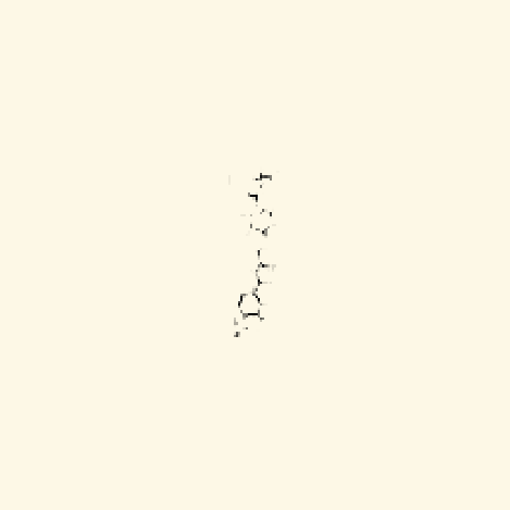 CC(C)(C)OC(=O)N1CCC(OCc2noc(-c3ccc(S(C)(=O)=O)c(F)c3)n2)CC1